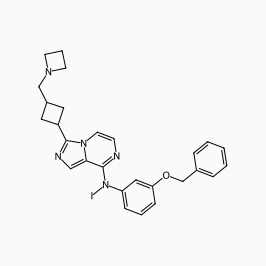 IN(c1cccc(OCc2ccccc2)c1)c1nccn2c(C3CC(CN4CCC4)C3)ncc12